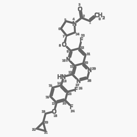 C=CC(=O)N1CC[C@H](Oc2nc3c(Nc4ccc(OCC5CC5)c(F)c4F)ncnc3cc2F)C1